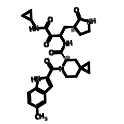 Cc1ccc2[nH]c(C(=O)N3CCC4(CC4)C[C@H]3C(=O)NC(C[C@@H]3CCNC3=O)C(=O)C(=O)NC3CC3)cc2c1